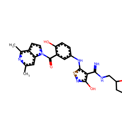 Cc1cc2c(ccn2C(=O)c2cc(Nc3snc(O)c3C(=N)NCC3CCCO3)ccc2O)c(C)n1